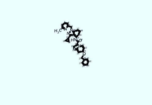 Cc1cccc(Cn2nc(C3CC3)c3c(NC(=O)c4cnc5cc(OCc6ccccc6)ccn45)cccc32)n1